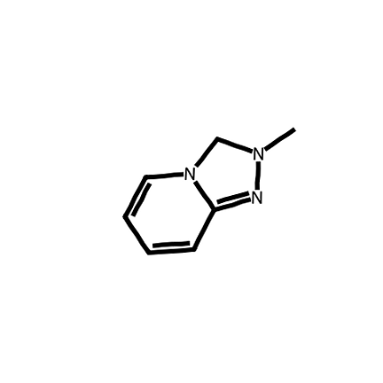 CN1CN2C=CC=CC2=N1